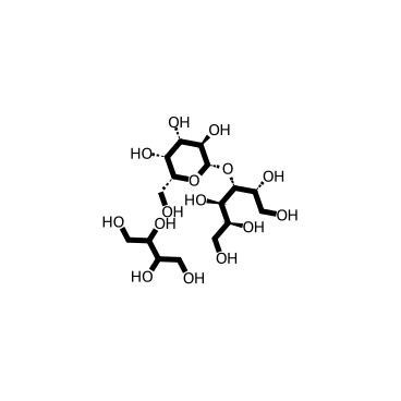 OCC(O)C(O)CO.OC[C@@H](O)[C@@H](O[C@@H]1O[C@H](CO)[C@H](O)[C@H](O)[C@H]1O)[C@H](O)[C@@H](O)CO